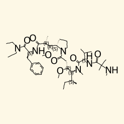 CC[C@H](C)[C@@H]([C@@H](CC(=O)N1CCC[C@H]1[C@H](OC)[C@@H](C)C(=O)N[C@@H](Cc1ccccc1)C(=O)N(CC)CC)OC)N(C)C(=O)[C@@H](NC(=O)C(C)(C)NC)C(C)C